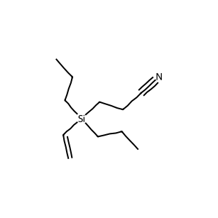 C=C[Si](CCC)(CCC)CCC#N